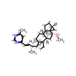 CO[C@@H]1C[C@H]2[C@@H]3CC[C@H]([C@H](C)/C=C/c4cc(C)ncn4)[C@@]3(C)CC[C@@H]2[C@@]2(C)CC[C@@H]3CC312